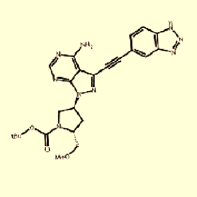 COC[C@H]1C[C@H](n2nc(C#Cc3ccc4[nH]nnc4c3)c3c(N)ncnc32)CN1C(=O)OC(C)(C)C